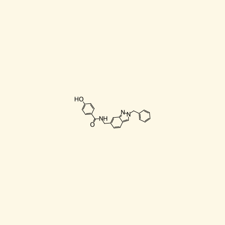 O=C(NCc1ccc2cn(Cc3ccccc3)nc2c1)c1ccc(O)cc1